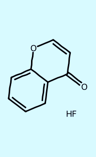 F.O=c1ccoc2ccccc12